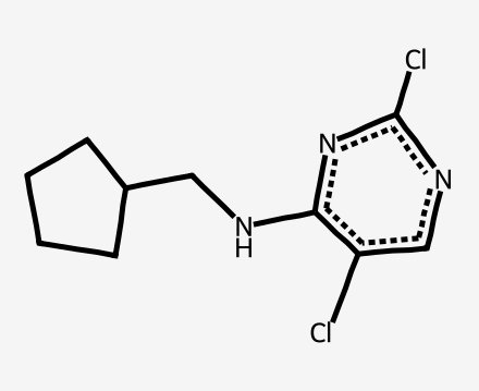 Clc1ncc(Cl)c(NCC2CCCC2)n1